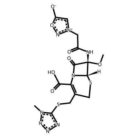 CO[C@@]1(NC(=O)C[n+]2cc([O-])on2)C(=O)N2C(C(=O)O)=C(CSc3nnnn3C)CS[C@H]21